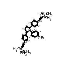 CC(C)(C)c1ccc(N2C(c3ccc(C#C[Si](C)(C)C)cc3)CCC2c2ccc(C#C[Si](C)(C)C)cc2)cc1